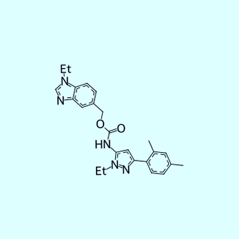 CCn1nc(-c2ccc(C)cc2C)cc1NC(=O)OCc1ccc2c(c1)ncn2CC